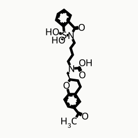 CC(=O)c1ccc2c(c1)CC[C@H](CN(CCCCN1C(=O)c3ccccc3S1(O)O)C(=O)O)O2